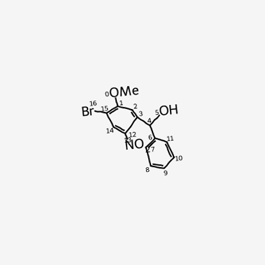 COc1cc(C(O)c2ccccc2)c([N+](=O)[O-])cc1Br